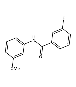 COc1cccc(NC(=O)c2cccc(F)c2)c1